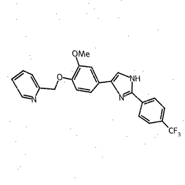 COc1cc(-c2c[nH]c(-c3ccc(C(F)(F)F)cc3)n2)ccc1OCc1ccccn1